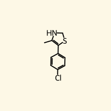 CC1=C(c2ccc(Cl)cc2)SCN1